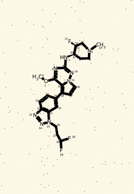 COc1nc(N[C@@H]2CCN(C)C[C@@H]2F)nn2ccc(-c3ccc4nnn(CCC(F)F)c4c3)c12